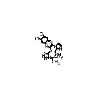 CCc1nccn1-c1nc2cc(Cl)c(Cl)cc2nc1Sc1nnnn1C(C)C